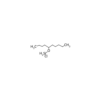 CCCCCC(CCCC)O[SiH2]Cl